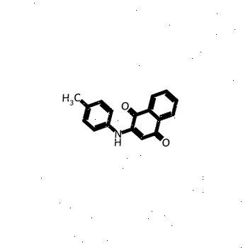 Cc1ccc(NC2=CC(=O)c3ccccc3C2=O)cc1